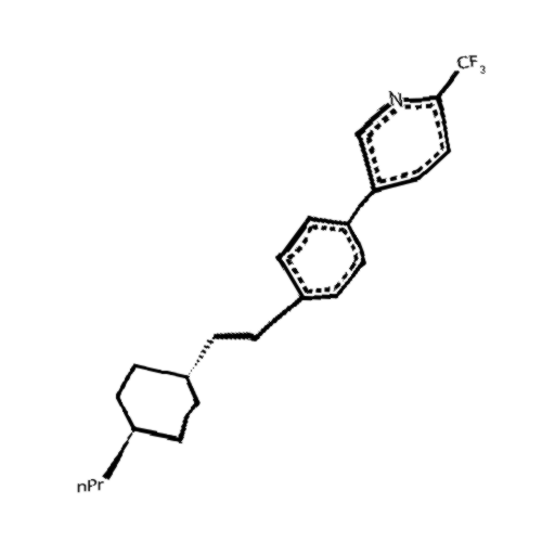 CCC[C@H]1CC[C@H](CCc2ccc(-c3ccc(C(F)(F)F)nc3)cc2)CC1